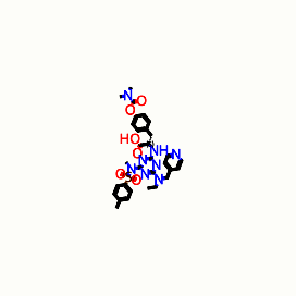 CCN(Cc1ccncc1)c1nc(N[C@@H](Cc2ccc(OC(=O)N(C)C)cc2)C(=O)O)nc(N(C)S(=O)(=O)c2ccc(C)cc2)n1